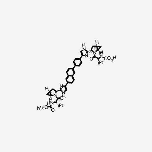 COC(=O)N[C@H](C(=O)N1[C@@H]2C[C@@H]2C[C@H]1c1nc(-c2ccc3cc(-c4ccc(-c5c[nH]c([C@@H]6C[C@H]7C[C@H]7N6C(=O)[C@@H](NC(=O)O)C(C)C)n5)cc4)ccc3c2)c[nH]1)C(C)C